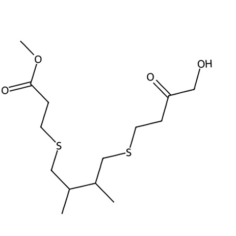 COC(=O)CCSCC(C)C(C)CSCCC(=O)CO